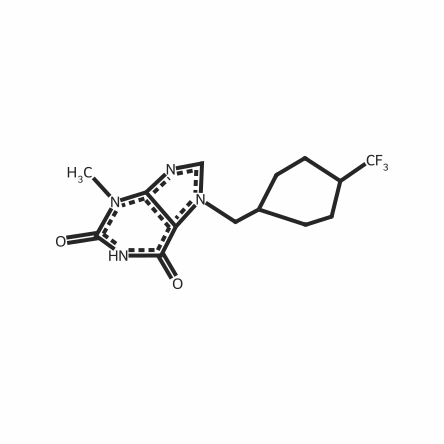 Cn1c(=O)[nH]c(=O)c2c1ncn2CC1CCC(C(F)(F)F)CC1